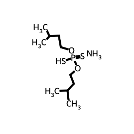 CC(C)CCOP(=S)(S)OCCC(C)C.N